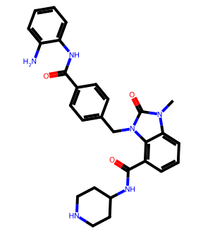 Cn1c(=O)n(Cc2ccc(C(=O)Nc3ccccc3N)cc2)c2c(C(=O)NC3CCNCC3)cccc21